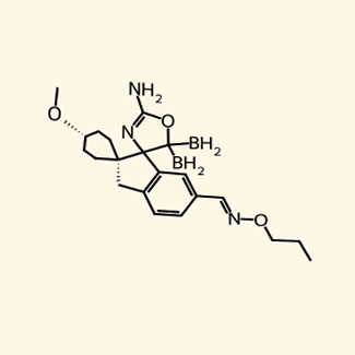 BC1(B)OC(N)=NC12c1cc(/C=N/OCCC)ccc1C[C@]21CC[C@@H](OC)CC1